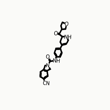 N#Cc1ccc2c(c1)CN(C(=O)Nc1ccc(C3=CCNC(C(=O)C4CCOC4)C3)cc1)C2